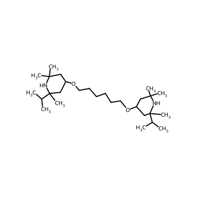 CC(C)C1(C)CC(OCCCCCCOC2CC(C)(C)NC(C)(C(C)C)C2)CC(C)(C)N1